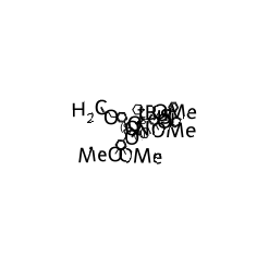 C=CCOc1cccc([C@H](CCc2ccc(OC)c(OC)c2)OC(=O)[C@H]2CCCCN2C(=O)[C@H](c2cc(OC)c(O[Si](c3ccccc3)(c3ccccc3)C(C)(C)C)c(OC)c2)C2CCCCC2)c1